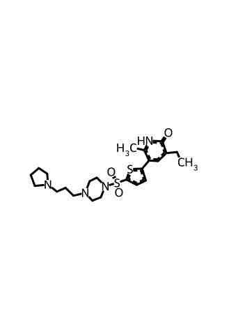 CCc1cc(-c2ccc(S(=O)(=O)N3CCN(CCCN4CCCC4)CC3)s2)c(C)[nH]c1=O